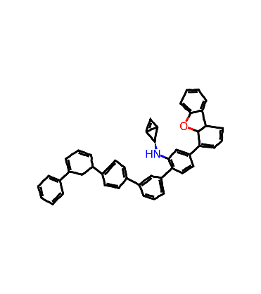 C1=CC(c2ccc(-c3cccc(-c4ccc(C5=CC=CC6c7ccccc7OC56)cc4N[C@H]4C5=CC54)c3)cc2)CC(c2ccccc2)=C1